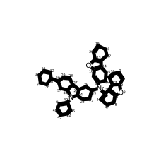 C1=CC2OC3=C(C(N(C4=Cc5oc6c(c5CC4)CCC=C6)C4CCC5C(C4)C4C=CC(C6C=CCCC6)CC4N5c4ccccc4)=CCC3)C2C=C1